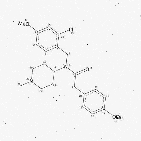 COc1ccc(CN(C(=O)Cc2ccc(OCC(C)C)cc2)C2CCN(C)CC2)c(Cl)c1